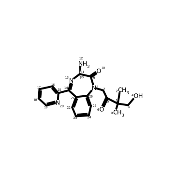 CC(C)(CO)C(=O)CN1C(=O)[C@H](N)N=C(c2ccccn2)c2ccccc21